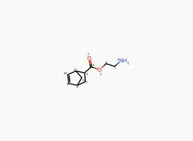 NCCOC(=O)C1CC2C=CC1C2